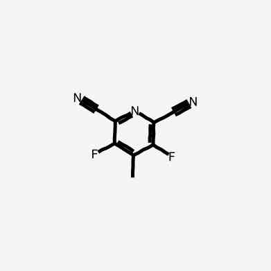 Cc1c(F)c(C#N)nc(C#N)c1F